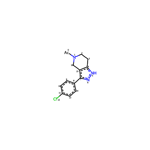 CC(=O)N1CCc2[nH]nc(-c3ccc(Cl)cc3)c2C1